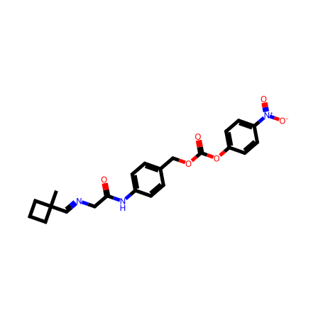 CC1(/C=N/CC(=O)Nc2ccc(COC(=O)Oc3ccc([N+](=O)[O-])cc3)cc2)CCC1